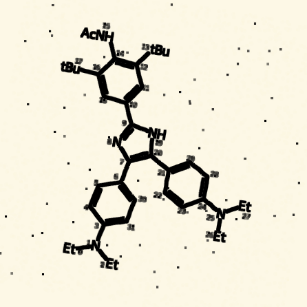 CCN(CC)c1ccc(-c2nc(-c3cc(C(C)(C)C)c(NC(C)=O)c(C(C)(C)C)c3)[nH]c2-c2ccc(N(CC)CC)cc2)cc1